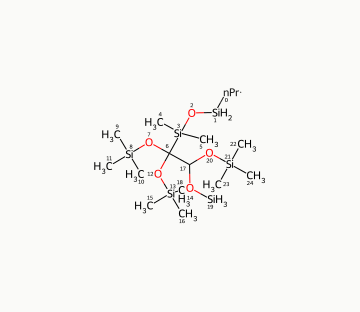 CC[CH][SiH2]O[Si](C)(C)C(O[Si](C)(C)C)(O[Si](C)(C)C)C(O[SiH3])O[Si](C)(C)C